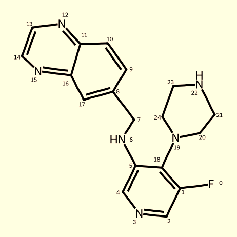 Fc1cncc(NCc2ccc3nccnc3c2)c1N1CCNCC1